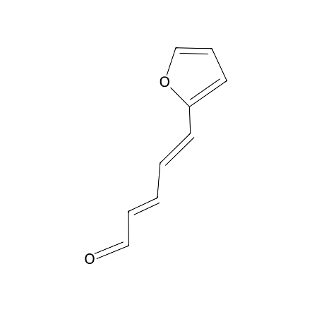 O=CC=CC=Cc1ccco1